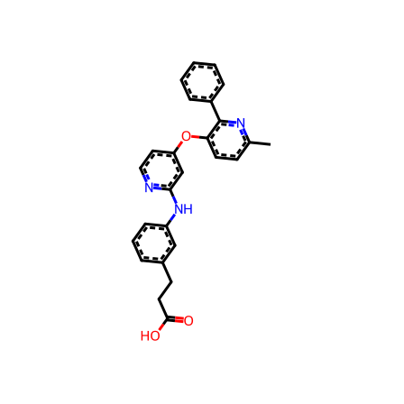 Cc1ccc(Oc2ccnc(Nc3cccc(CCC(=O)O)c3)c2)c(-c2ccccc2)n1